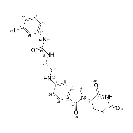 O=C1CCC(N2Cc3cc(NCCNC(=O)Nc4cccc(I)c4)ccc3C2=O)C(=O)N1